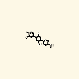 CNc1ccc(-c2cc(F)c(-c3cnn(C)c(=O)c3)cc2O)nn1